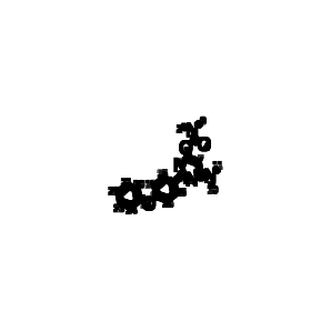 CN(C)C(=O)Oc1cc(N(C)C)nc(-c2ccc(Oc3ccccc3)cc2)n1